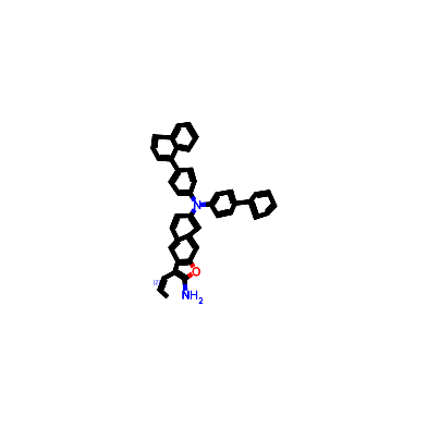 C/C=C\c1c(N)oc2cc3cc(N(c4ccc(-c5ccccc5)cc4)c4ccc(-c5cccc6ccccc56)cc4)ccc3cc12